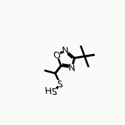 CC(SS)c1nc(C(C)(C)C)no1